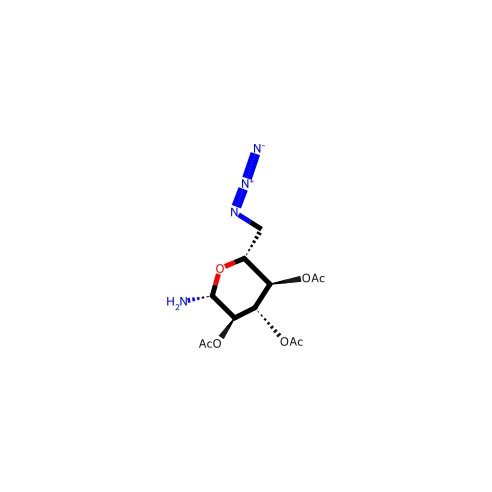 CC(=O)O[C@@H]1[C@@H](OC(C)=O)[C@H](N)O[C@H](CN=[N+]=[N-])[C@H]1OC(C)=O